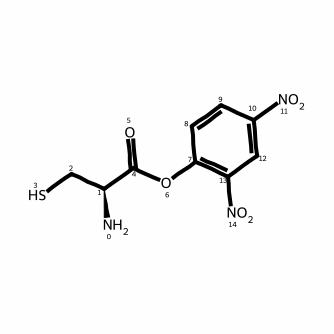 N[C@@H](CS)C(=O)Oc1ccc([N+](=O)[O-])cc1[N+](=O)[O-]